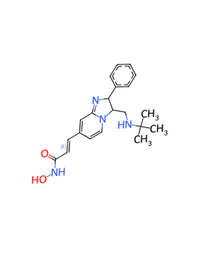 CC(C)(C)NCC1C(c2ccccc2)N=C2C=C(/C=C/C(=O)NO)C=CN21